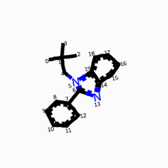 CC(C)(C)Cn1c(-c2ccccc2)nc2ccccc21